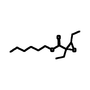 CCCCCCOC(=O)C1(CC)OC1CC